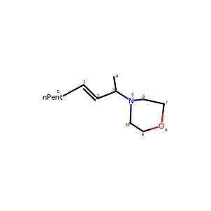 CCCCCC=CC(C)N1CCOCC1